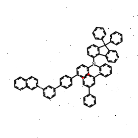 c1ccc(-c2cccc(-c3ccccc3N(c3ccc(-c4ccc(-c5cccc(-c6ccc7ccccc7c6)c5)cc4)cc3)c3cccc4c3-c3ccccc3C4(c3ccccc3)c3ccccc3)c2)cc1